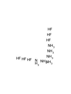 F.F.F.F.F.F.N.N.N.N.N.N